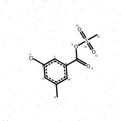 Cc1cc(Cl)cc(C(=O)OS(C)(=O)=O)c1